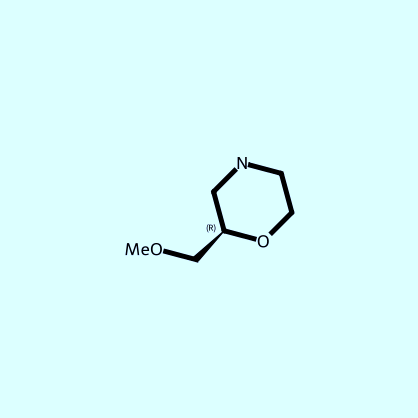 COC[C@H]1C[N]CCO1